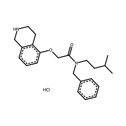 CC(C)CCN(Cc1ccccc1)C(=O)COc1cccc2c1CCNC2.Cl